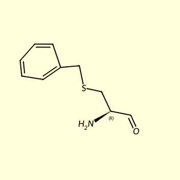 N[C@H](C=O)CSCc1ccccc1